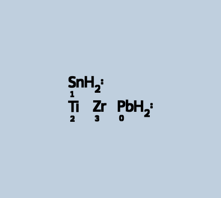 [PbH2].[SnH2].[Ti].[Zr]